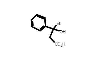 CCC(O)(CC(=O)O)c1ccccc1